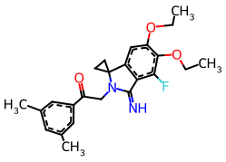 CCOc1cc2c(c(F)c1OCC)C(=N)N(CC(=O)c1cc(C)cc(C)c1)C21CC1